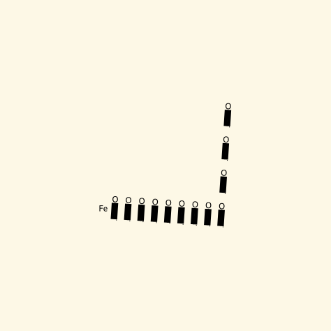 [C]=O.[C]=O.[C]=O.[C]=O.[C]=O.[C]=O.[C]=O.[C]=O.[C]=O.[C]=O.[C]=O.[C]=O.[Fe]